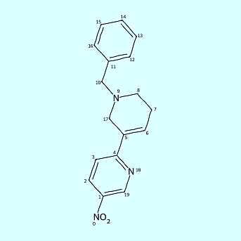 O=[N+]([O-])c1ccc(C2=CCCN(Cc3ccccc3)C2)nc1